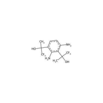 CC(O)(c1ccc(N)c(C(C)(O)C(F)(F)F)c1N)C(F)(F)F